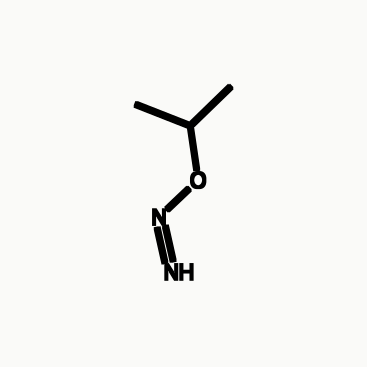 CC(C)ON=N